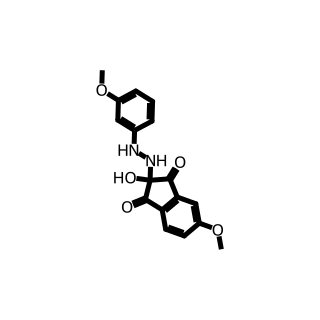 COc1cccc(NNC2(O)C(=O)c3ccc(OC)cc3C2=O)c1